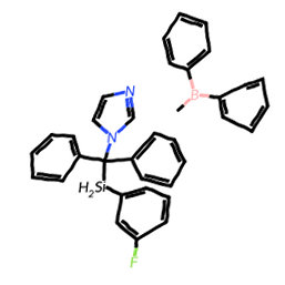 CB(c1ccccc1)c1ccccc1.Fc1cccc([SiH2]C(c2ccccc2)(c2ccccc2)n2ccnc2)c1